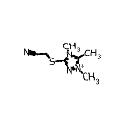 Cc1n(C)c(SCC#N)n[n+]1C